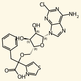 Nc1nc(Cl)nc2c1ncn2[C@@H]1O[C@H](COC(Cc2ccccc2)(C(=O)O)c2cscn2)[C@@H](O)[C@H]1O